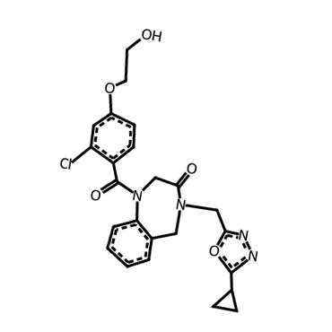 O=C1CN(C(=O)c2ccc(OCCO)cc2Cl)c2ccccc2CN1Cc1nnc(C2CC2)o1